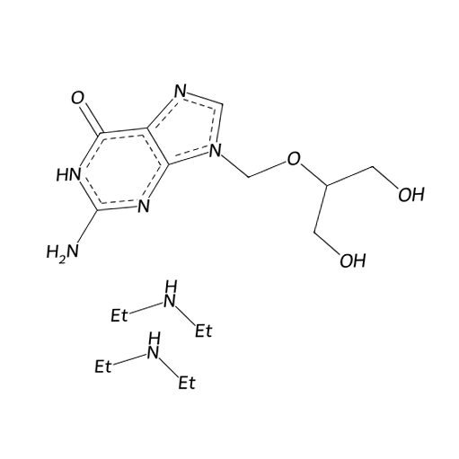 CCNCC.CCNCC.Nc1nc2c(ncn2COC(CO)CO)c(=O)[nH]1